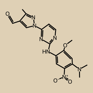 COc1cc(N(C)C)c([N+](=O)[O-])cc1Nc1nccc(-n2cc(C=O)c(C)n2)n1